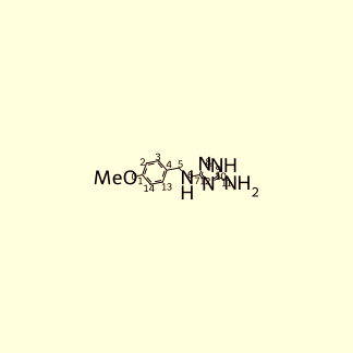 COc1ccc(CNc2n[nH]c(N)n2)cc1